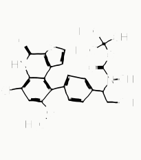 CCC(c1ccc(-c2c(OC)cc(Cl)c3[nH]c(=O)c4sccc4c23)cc1)N(C)C(=O)OC(C)(C)C